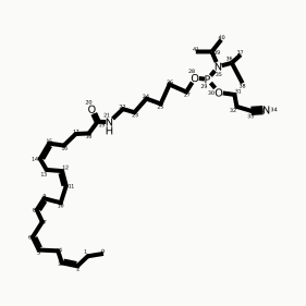 CC/C=C\C/C=C\C/C=C\C/C=C\C/C=C\CCCC(=O)NCCCCCCOP(OCCC#N)N(C(C)C)C(C)C